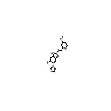 COc1ccnc(CSc2nc3cc(-n4ccnc4)c(F)cc3[nH]2)c1